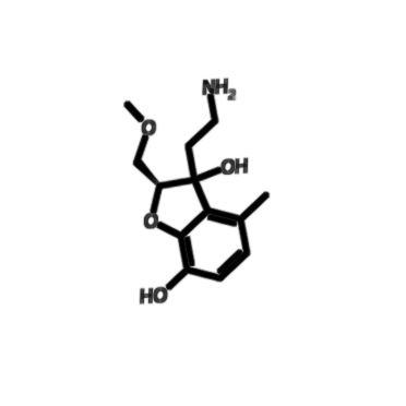 COC[C@@H]1Oc2c(O)ccc(C)c2C1(O)CCN